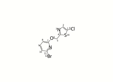 Clc1cnc(COc2cccc(Br)n2)s1